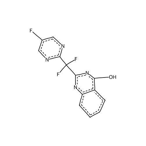 Oc1nc(C(F)(F)c2ncc(F)cn2)nc2ccccc12